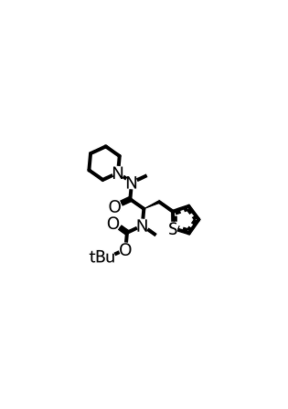 CN(C(=O)OC(C)(C)C)[C@H](Cc1cccs1)C(=O)N(C)N1CCCCC1